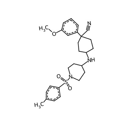 COc1cccc(C2(C#N)CCC(NC3CCN(S(=O)(=O)c4ccc(C)cc4)CC3)CC2)c1